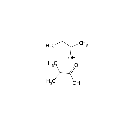 CC(C)C(=O)O.CCC(C)O